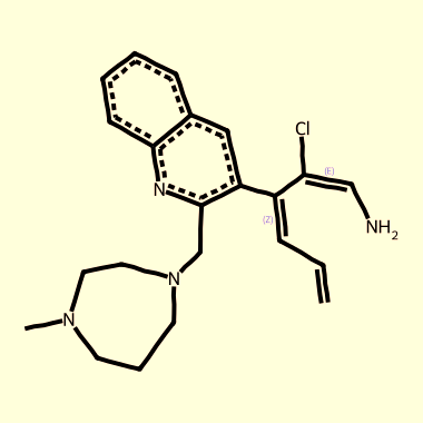 C=C/C=C(\C(Cl)=C/N)c1cc2ccccc2nc1CN1CCCN(C)CC1